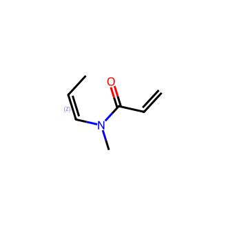 C=CC(=O)N(C)/C=C\C